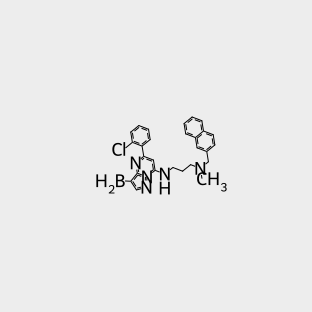 Bc1cnn2c(NCCCN(C)Cc3ccc4ccccc4c3)cc(-c3ccccc3Cl)nc12